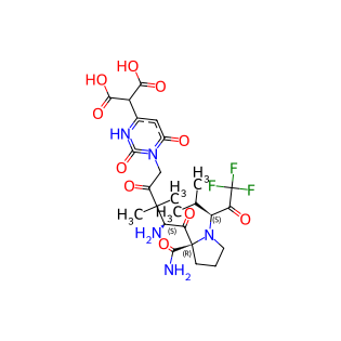 CC(C)[C@@H](C(=O)C(F)(F)F)N1CCC[C@]1(C(N)=O)C(=O)[C@@H](N)C(C)(C)C(=O)Cn1c(=O)cc(C(C(=O)O)C(=O)O)[nH]c1=O